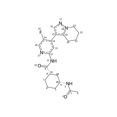 CC(=O)N[C@@H]1CCC[C@H](C(=O)Nc2cc(-c3cnn4c3CCCC4)c(F)cn2)C1